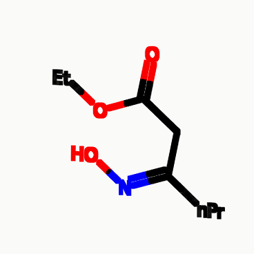 CCCC(CC(=O)OCC)=NO